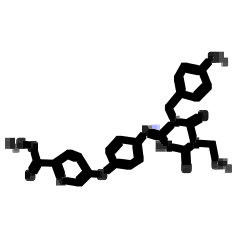 CCn1c(=O)[nH]/c(=N\c2ccc(Oc3ccc(C(=O)OC)nc3)cc2)n(Cc2ccc(C)cc2)c1=O